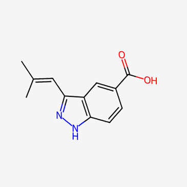 CC(C)=Cc1n[nH]c2ccc(C(=O)O)cc12